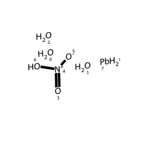 O.O.O.O=[N+]([O-])O.[PbH2]